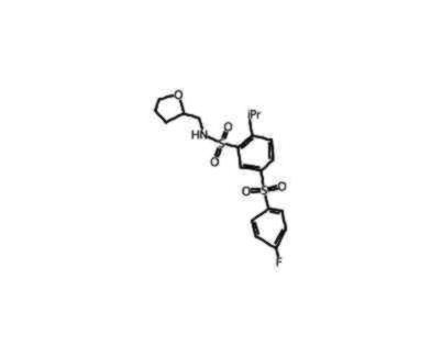 CC(C)c1ccc(S(=O)(=O)c2ccc(F)cc2)cc1S(=O)(=O)NCC1CCCO1